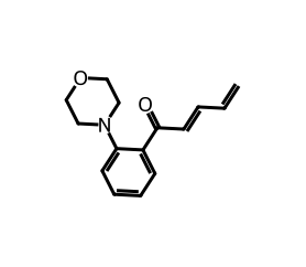 C=CC=CC(=O)c1ccccc1N1CCOCC1